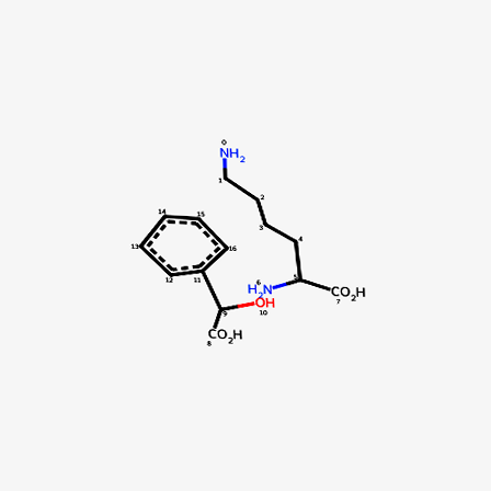 NCCCCC(N)C(=O)O.O=C(O)C(O)c1ccccc1